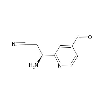 N#CC[C@H](N)c1cc(C=O)ccn1